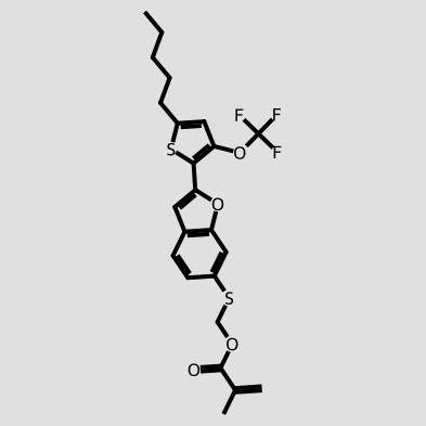 C=C(C)C(=O)OCSc1ccc2cc(-c3sc(CCCCC)cc3OC(F)(F)F)oc2c1